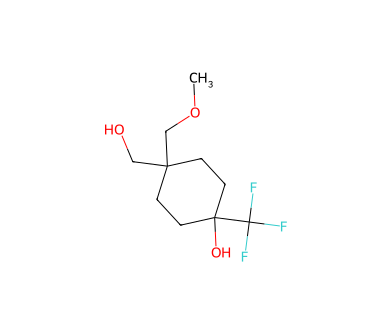 COCC1(CO)CCC(O)(C(F)(F)F)CC1